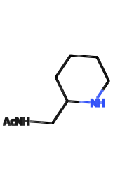 CC(=O)NCC1CCCCN1